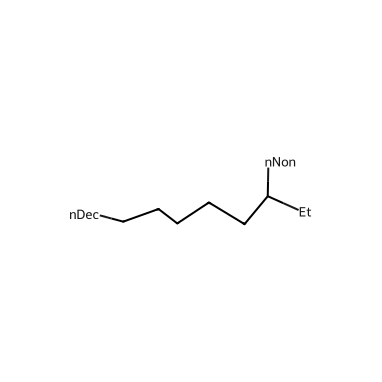 [CH2]CC(CCCCCCCCC)CCCCCCCCCCCCCCC